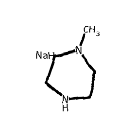 CN1CCNCC1.[NaH]